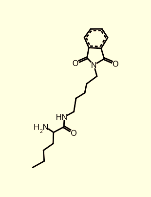 CCCCC(N)C(=O)NCCCCCN1C(=O)c2ccccc2C1=O